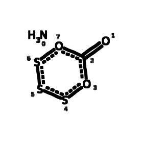 N.O=c1ossso1